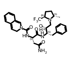 C[C@H]1CC[C@H](C(F)(F)F)N1C[C@@H](O)[C@H](Cc1ccccc1)NC(=O)[C@H](CC(N)=O)NC(=O)N1C=c2ccccc2=CC1